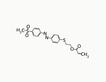 C=CC(=O)OCCSc1ccc(/N=N/c2ccc(S(C)(=O)=O)cc2)cc1